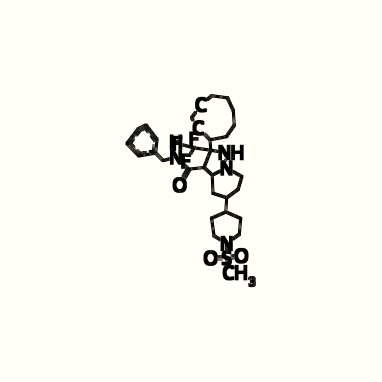 CS(=O)(=O)N1CCC(C2CCN3NC(C4CCCCCCCC4)(C(F)(F)F)C(C(=O)NCc4ccccc4)C3C2)CC1